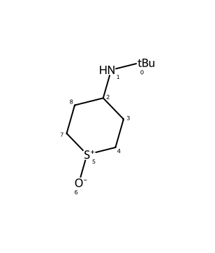 CC(C)(C)NC1CC[S+]([O-])CC1